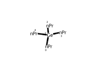 CC[CH2][Ge]([CH2]CC)([CH2]CC)[CH2]CC